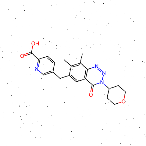 Cc1c(Cc2ccc(C(=O)O)nc2)cc2c(=O)n(C3CCOCC3)nnc2c1C